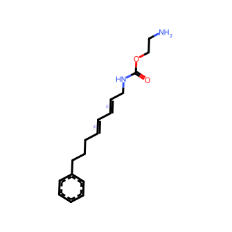 NCCOC(=O)NC/C=C/C=C/CCCc1ccccc1